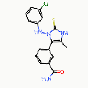 Cc1[nH]c(=S)n(Nc2cccc(Cl)c2)c1-c1cccc(C(N)=O)c1